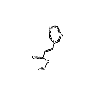 CCCCOC(=O)C=Cc1cncnc1